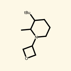 CC1C(C(C)(C)C)CCCN1C1COC1